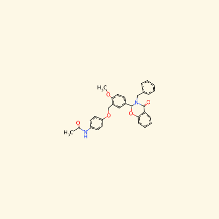 COc1ccc(C2Oc3ccccc3C(=O)N2Cc2ccccc2)cc1COc1ccc(NC(C)=O)cc1